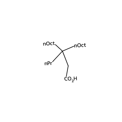 CCCCCCCCC(CCC)(CCCCCCCC)CC(=O)O